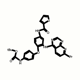 CC(C)c1ccc2c(Nc3cc(NC(=O)c4cccs4)ccc3Oc3ccc(NC(=O)OC(C)(C)C)cc3)ncnc2n1